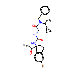 COC(=O)C1(NC(=O)NCC(=O)N(Cc2ccccc2)[C@@H](C)C2CC2)CCc2cc(Br)ccc21